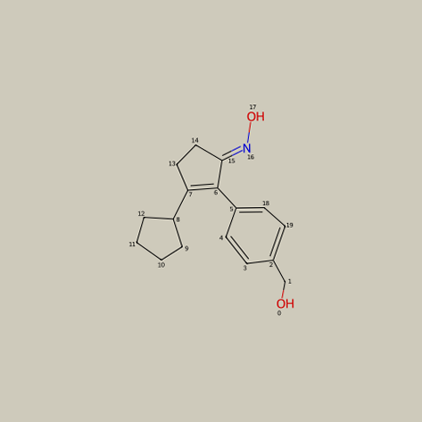 OCc1ccc(C2=C(C3CCCC3)CCC2=NO)cc1